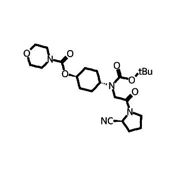 CC(C)(C)OC(=O)N(CC(=O)N1CCC[C@H]1C#N)[C@H]1CC[C@H](OC(=O)N2CCOCC2)CC1